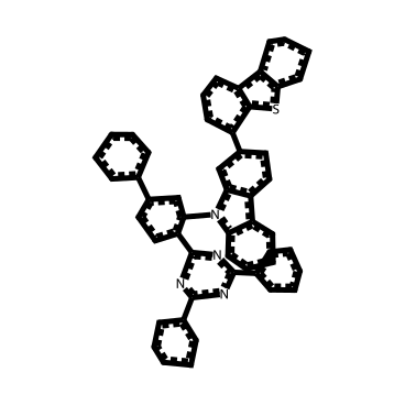 c1ccc(-c2ccc(-c3nc(-c4ccccc4)nc(-c4ccccc4)n3)c(-n3c4ccccc4c4ccc(-c5cccc6c5sc5ccccc56)cc43)c2)cc1